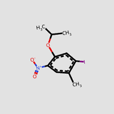 Cc1cc([N+](=O)[O-])c(OC(C)C)cc1I